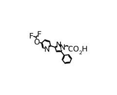 O=C(O)Cn1nc(-c2ccc(OC(F)F)cn2)cc1-c1ccccc1